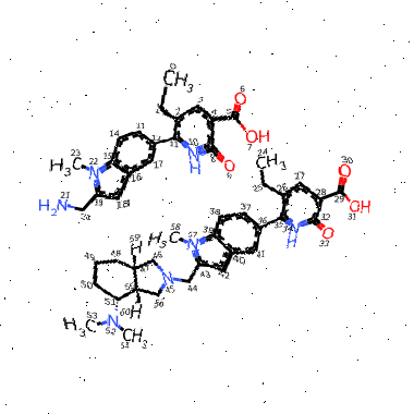 CCc1cc(C(=O)O)c(=O)[nH]c1-c1ccc2c(c1)cc(CN)n2C.CCc1cc(C(=O)O)c(=O)[nH]c1-c1ccc2c(c1)cc(CN1C[C@H]3CCC[C@@H](N(C)C)[C@H]3C1)n2C